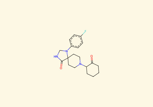 O=C1CCCCC1N1CCC2(CC1)C(=O)NCN2c1ccc(F)cc1